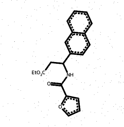 CCOC(=O)CC(NC(=O)c1ccco1)c1ccc2ccccc2c1